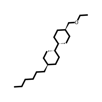 CCCCCC[C@H]1CC[C@H]([C@H]2CC[C@H](COCC)CC2)CC1